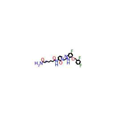 NC(=O)/C=C/CCCC(=O)Nc1cccn(Cc2nc3cc(F)cc(OCc4ccc(F)cc4F)c3[nH]2)c1=O